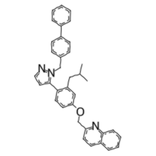 CC(C)Cc1cc(OCc2ccc3ccccc3n2)ccc1-c1ccnn1Cc1ccc(-c2ccccc2)cc1